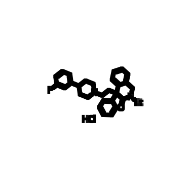 CCN1Cc2ccccc2C(CCN2CCC(c3cccc(F)c3)CC2)(c2ccccc2)C1=O.Cl